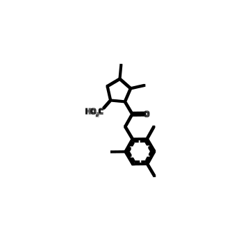 Cc1cc(C)c(CC(=O)C2C(C(=O)O)CC(C)C2C)c(C)c1